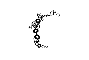 CCCCCCNC(=O)Nc1ccc(S(=O)(=O)Nc2ccc(-c3ccc(CC4NCCc5ccc(O)cc54)cc3)cc2)cc1